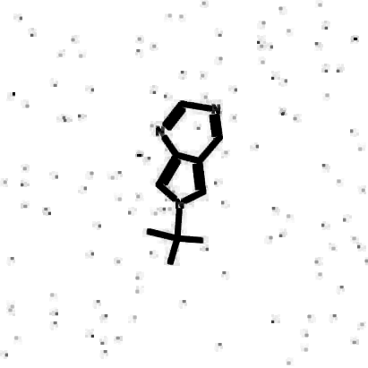 CC(C)(C)n1cc2cncnc2c1